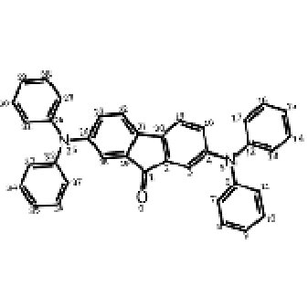 O=C1c2cc(N(c3ccccc3)c3ccccc3)ccc2-c2ccc(N(c3ccccc3)c3ccccc3)cc21